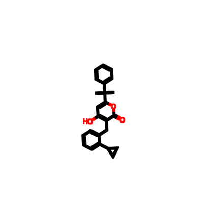 CC(C)(c1ccccc1)c1cc(O)c(Cc2ccccc2C2CC2)c(=O)o1